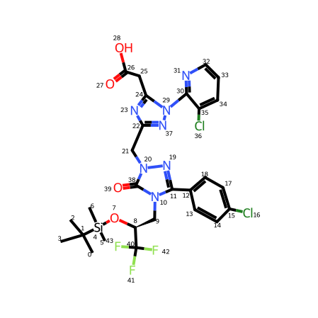 CC(C)(C)[Si](C)(C)O[C@@H](Cn1c(-c2ccc(Cl)cc2)nn(Cc2nc(CC(=O)O)n(-c3ncccc3Cl)n2)c1=O)C(F)(F)F